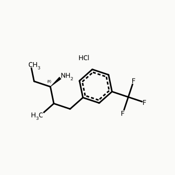 CC[C@@H](N)C(C)Cc1cccc(C(F)(F)F)c1.Cl